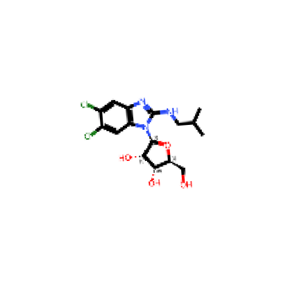 CC(C)CNc1nc2cc(Cl)c(Cl)cc2n1[C@H]1O[C@@H](CO)[C@H](O)[C@@H]1O